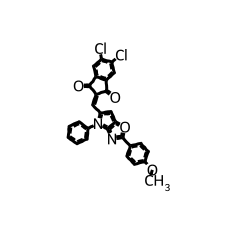 COc1ccc(-c2nc3c(cc(C=C4C(=O)c5cc(Cl)c(Cl)cc5C4=O)n3-c3ccccc3)o2)cc1